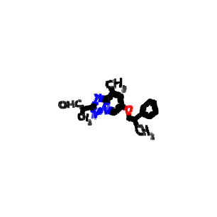 Cc1cc(OCC(C)c2ccccc2)cn2nc(C(C)C=O)nc12